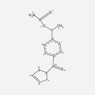 CC(OC(N)=O)c1ccc(C(=O)C2CC=CS2)cc1